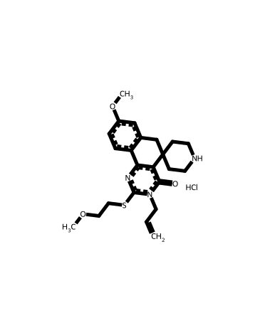 C=CCn1c(SCCOC)nc2c(c1=O)C1(CCNCC1)Cc1cc(OC)ccc1-2.Cl